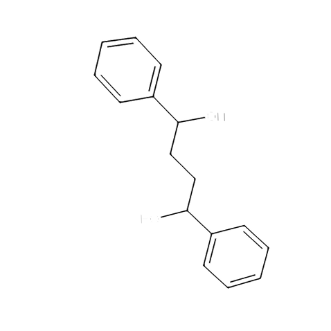 OC(CCC(O)c1ccccc1)c1ccccc1